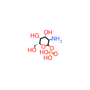 N[C@H]1C(OP(=O)(O)O)O[C@H](CO)[C@H](O)[C@@H]1O